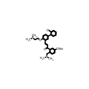 COc1ccc(CN(C)C)c(C(=O)C=Cc2cc(-c3ccccc3Cl)ccc2OCCN(C)C)c1